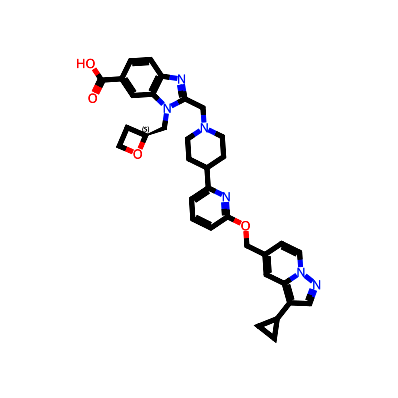 O=C(O)c1ccc2nc(CN3CCC(c4cccc(OCc5ccn6ncc(C7CC7)c6c5)n4)CC3)n(C[C@@H]3CCO3)c2c1